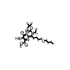 CCCCOCCCCC(c1nc(C(=O)OC)c(O)c(=O)[nH]1)N(CC)C(=O)OC(C)(C)C